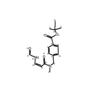 CN(Cc1ccc(C(=O)OC(C)(C)C)cc1)C(=O)/C=C\NC=O